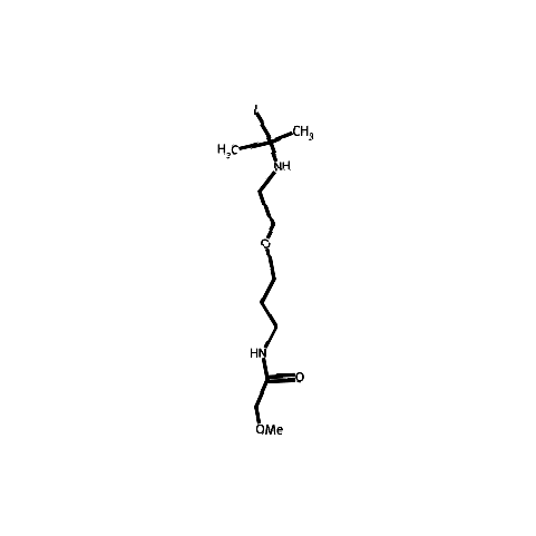 COCC(=O)NCCCOCCNC(C)(C)I